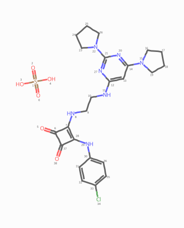 O=S(=O)(O)O.O=c1c(NCCNc2cc(N3CCCC3)nc(N3CCCC3)n2)c(Nc2ccc(Cl)cc2)c1=O